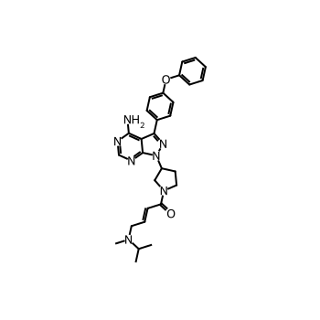 CC(C)N(C)C/C=C/C(=O)N1CCC(n2nc(-c3ccc(Oc4ccccc4)cc3)c3c(N)ncnc32)C1